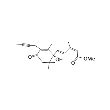 CC#CCC1=C(C)[C@](O)(/C=C/C(C)=C\C(=O)OC)C(C)(C)CC1=O